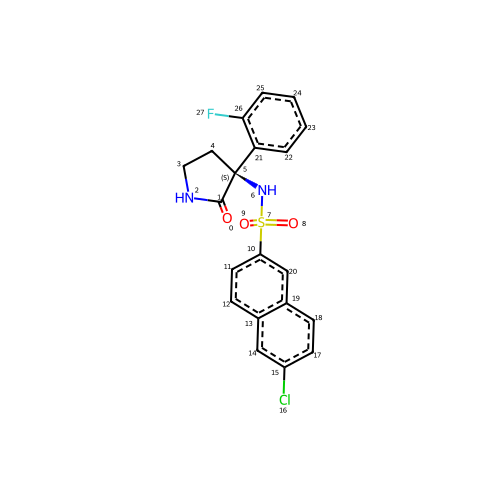 O=C1NCC[C@]1(NS(=O)(=O)c1ccc2cc(Cl)ccc2c1)c1ccccc1F